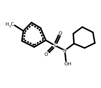 Cc1ccc(S(=O)(=O)N(O)C2CCCCC2)cc1